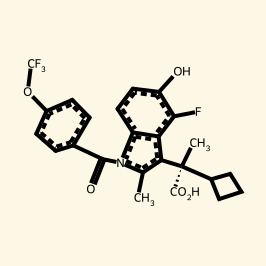 Cc1c([C@](C)(C(=O)O)C2CCC2)c2c(F)c(O)ccc2n1C(=O)c1ccc(OC(F)(F)F)cc1